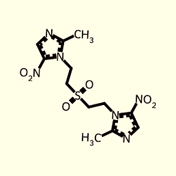 Cc1ncc([N+](=O)[O-])n1CCS(=O)(=O)CCn1c([N+](=O)[O-])cnc1C